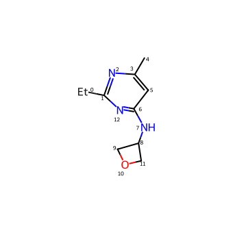 CCc1nc(C)cc(NC2COC2)n1